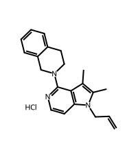 C=CCn1c(C)c(C)c2c(N3CCc4ccccc4C3)nccc21.Cl